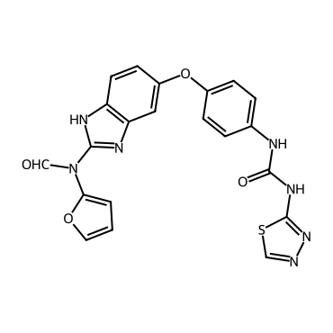 O=CN(c1nc2cc(Oc3ccc(NC(=O)Nc4nncs4)cc3)ccc2[nH]1)c1ccco1